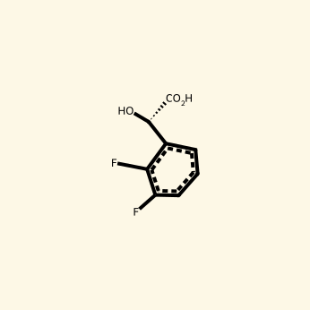 O=C(O)[C@@H](O)c1cccc(F)c1F